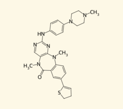 CN1CCN(c2ccc(Nc3ncc4c(n3)N(C)c3ccc(C5=CCCS5)cc3C(=O)N4C)cc2)CC1